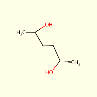 CC(O)CC[C@H](C)O